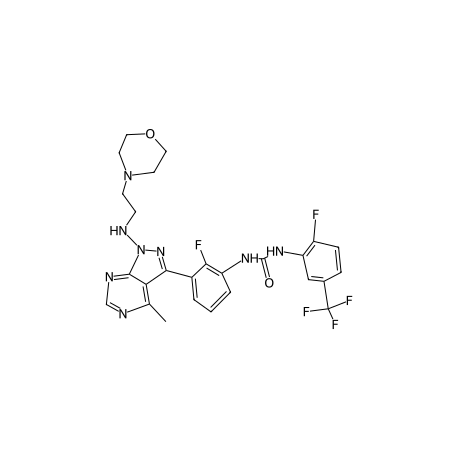 Cc1ncnc2c1c(-c1cccc(NC(=O)Nc3cc(C(F)(F)F)ccc3F)c1F)nn2NCCN1CCOCC1